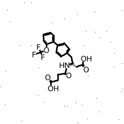 O=C(O)CCC(=O)N[C@@H](CC(=O)O)Cc1ccc(-c2ccccc2OC(F)(F)F)cc1